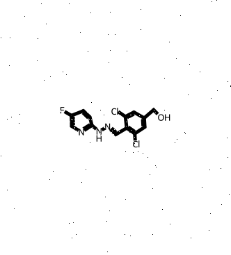 OCc1cc(Cl)c(C=NNc2ccc(F)cn2)c(Cl)c1